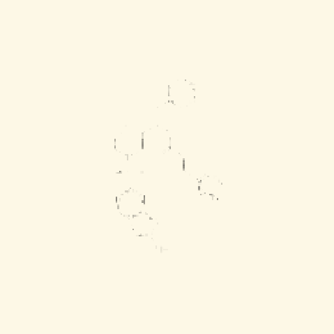 CC(C)CN(C[C@H](O)[C@H](Cc1ccccc1)NC(=O)OCc1cncs1)S(=O)(=O)c1ccc2nc(N)sc2c1